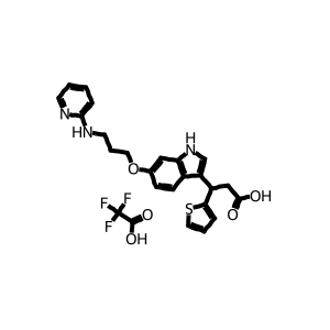 O=C(O)C(F)(F)F.O=C(O)CC(c1cccs1)c1c[nH]c2cc(OCCCNc3ccccn3)ccc12